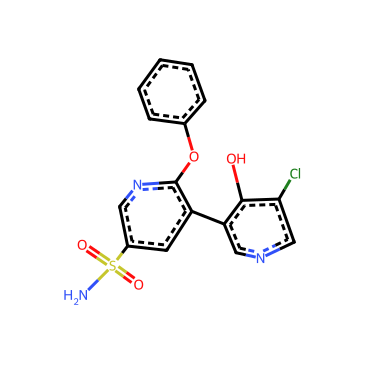 NS(=O)(=O)c1cnc(Oc2ccccc2)c(-c2cncc(Cl)c2O)c1